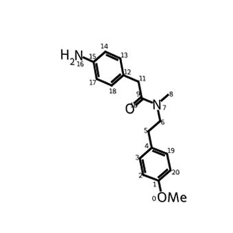 COc1ccc(CCN(C)C(=O)Cc2ccc(N)cc2)cc1